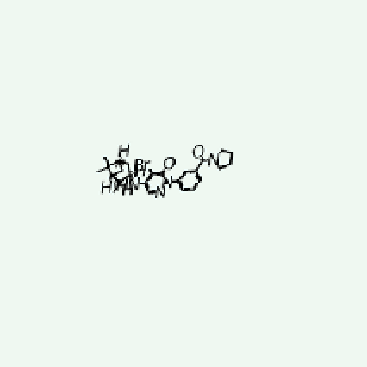 C[C@H]1[C@H]2C[C@H](C[C@H]1Nc1cnn(-c3cccc(C(=O)N4CCCC4)c3)c(=O)c1Br)C2(C)C